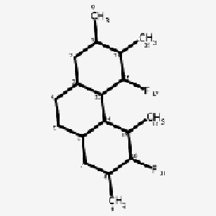 CC1CC2CCC3CC(C)C(F)C(C)C3C2C(F)C1C